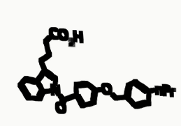 CCCc1ccc(COc2ccc(C(=O)n3cc(CCCC(=O)O)c4ccccc43)cc2)cc1